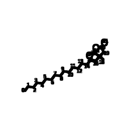 CCCCCCCCCCCCCCCC=CC1(C)CC(=O)OC1=O